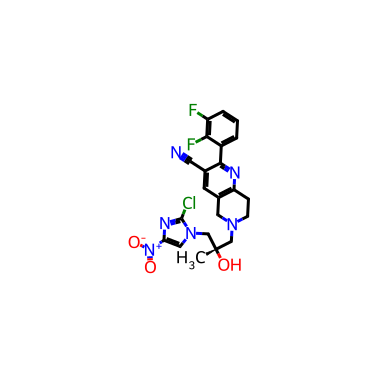 C[C@](O)(CN1CCc2nc(-c3cccc(F)c3F)c(C#N)cc2C1)Cn1cc([N+](=O)[O-])nc1Cl